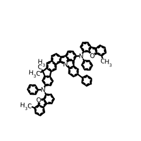 Cc1cccc2c1oc1c(N(c3ccccc3)c3ccc4c(c3)C(C)(C)c3cc5ccc6c7ccc(N(c8ccccc8)c8cccc9c8oc8c(C)cccc89)c8c9cc(-c%10ccccc%10)ccc9n(c6c5cc3-4)c78)cccc12